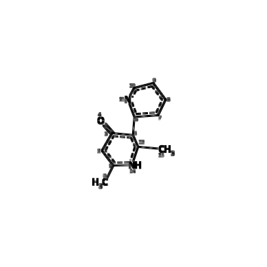 Cc1cc(=O)c(-c2ccccn2)c(C)[nH]1